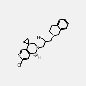 [2H][C@@H]1c2cc(Cl)ncc2C2(CC2)CN1CC(O)CN1CCc2ccccc2C1